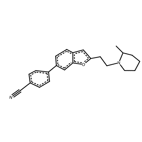 CC1CCCCN1CCc1cc2ccc(-c3ccc(C#N)cc3)cc2o1